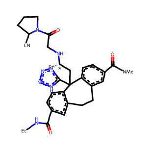 CCNC(=O)c1ccc2c(c1)CCc1cc(C(=O)NC)ccc1C2(C[C@H](CC)NCC(=O)N1CCCC1C#N)c1nnn[nH]1